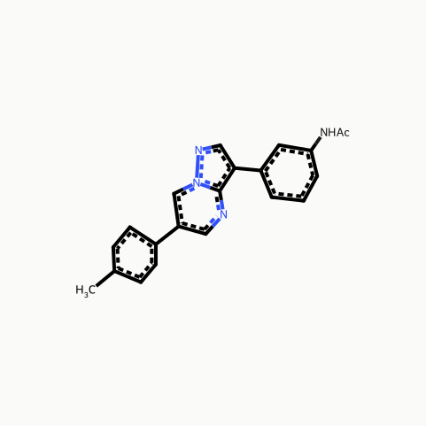 CC(=O)Nc1cccc(-c2cnn3cc(-c4ccc(C)cc4)cnc23)c1